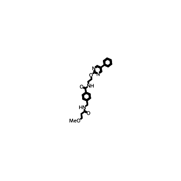 COCCC(=O)NCc1ccc(C(=O)NCCOc2ncc(-c3ccccc3)cn2)cc1